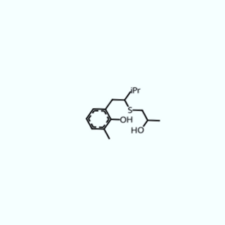 Cc1cccc(CC(SCC(C)O)C(C)C)c1O